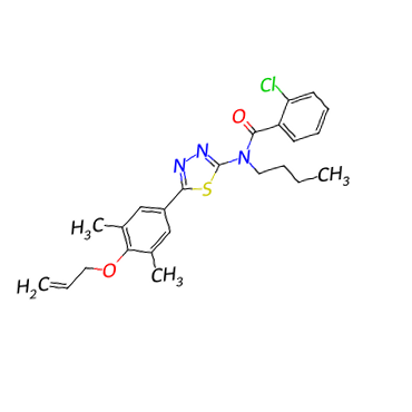 C=CCOc1c(C)cc(-c2nnc(N(CCCC)C(=O)c3ccccc3Cl)s2)cc1C